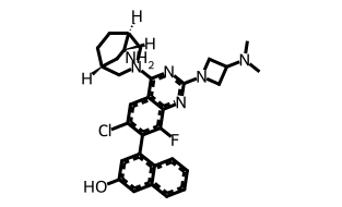 CN(C)C1CN(c2nc(N3C[C@@H]4CC[C@@H](C3)[C@H](N)C4)c3cc(Cl)c(-c4cc(O)cc5ccccc45)c(F)c3n2)C1